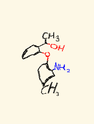 Cc1ccc(Oc2ccccc2C(C)O)c(N)c1